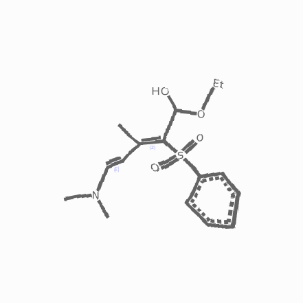 CCOC(O)/C(=C(C)/C=C/N(C)C)S(=O)(=O)c1ccccc1